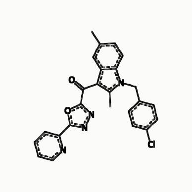 Cc1ccc2c(c1)c(C(=O)c1nnc(-c3ccccn3)o1)c(C)n2Cc1ccc(Cl)cc1